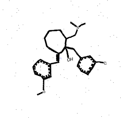 COc1cccc(/C=C2\CCCCC(CN(C)C)C2(O)Cc2cccc(Cl)c2)c1